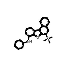 CS(C)(C)c1cc2ccccc2c2c1oc1c(Nc3ccccc3)cccc12